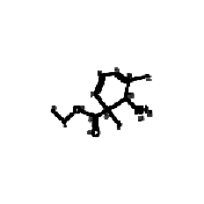 CCOC(=O)C1(C)C=CC=C(C)C1N